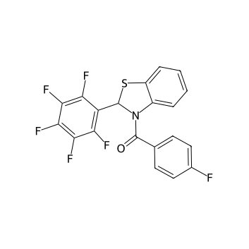 O=C(c1ccc(F)cc1)N1c2ccccc2SC1c1c(F)c(F)c(F)c(F)c1F